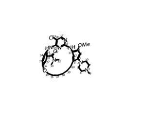 COc1cc(N2CCN(C)CC2)c2cc1Nc1ncc(Cl)c(n1)Nc1ccc(cc1C(=O)N(C)C)OCCCCCC2